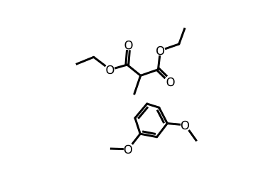 CCOC(=O)C(C)C(=O)OCC.COc1cccc(OC)c1